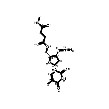 CNC(=O)CCC(=O)OC[C@H]1O[C@@H](n2cc(C)c(=O)[nH]c2=O)C[C@@H]1N=[N+]=[N-]